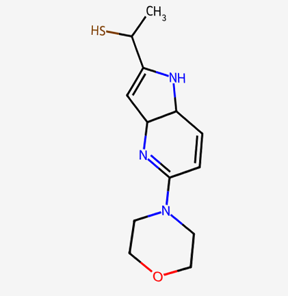 CC(S)C1=CC2N=C(N3CCOCC3)C=CC2N1